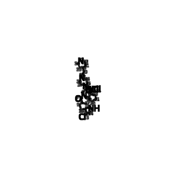 Cl.Cl.O=C(CN(C(=O)c1ccc2c(Cl)c[nH]c2c1)c1ccccc1)N1CCN(CCc2ccncc2)CC1